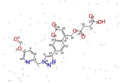 O=COc1ccc(Cn2cc(-c3ccc4c(COC(=O)CCC(=O)O)cc(=O)oc4c3)nn2)nc1